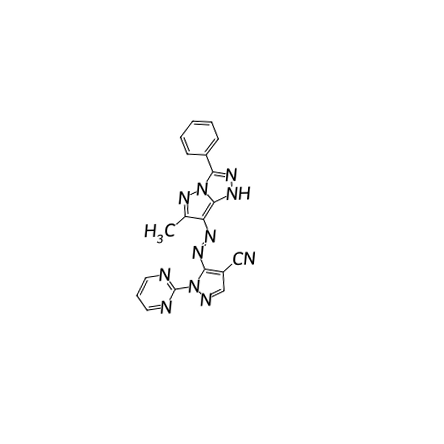 Cc1nn2c(-c3ccccc3)n[nH]c2c1/N=N/c1c(C#N)cnn1-c1ncccn1